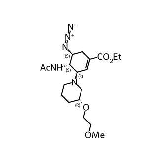 CCOC(=O)C1=C[C@@H](N2CCC[C@@H](OCCOC)C2)[C@H](NC(C)=O)[C@@H](N=[N+]=[N-])C1